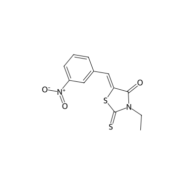 CCN1C(=O)C(=Cc2cccc([N+](=O)[O-])c2)SC1=S